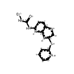 CCNC(=O)Nc1ccc2ncc(Sc3ccccn3)nc2n1